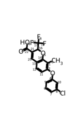 Cc1c(Oc2cccc(Cl)c2)ccc2c1OC(C(F)(F)F)C(C(=O)O)=C2